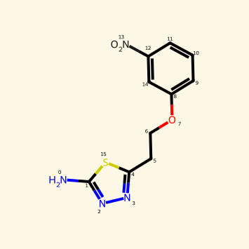 Nc1nnc(CCOc2cccc([N+](=O)[O-])c2)s1